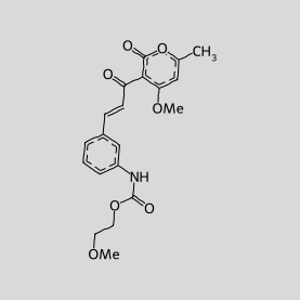 COCCOC(=O)Nc1cccc(C=CC(=O)c2c(OC)cc(C)oc2=O)c1